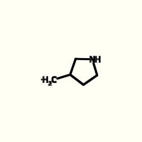 [CH2]C1CCNC1